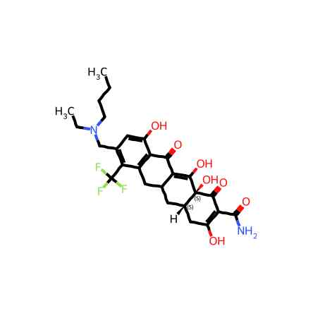 CCCCN(CC)Cc1cc(O)c2c(c1C(F)(F)F)CC1C[C@H]3CC(O)=C(C(N)=O)C(=O)[C@@]3(O)C(O)=C1C2=O